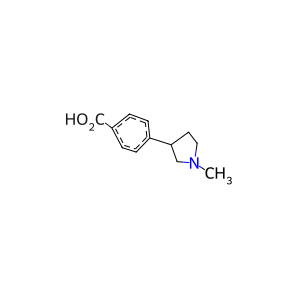 CN1CCC(c2ccc(C(=O)O)cc2)C1